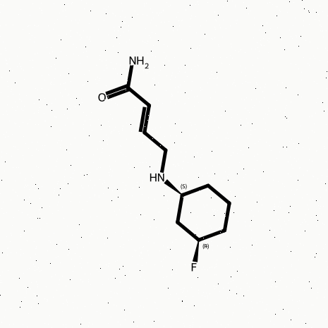 NC(=O)C=CCN[C@H]1CCC[C@@H](F)C1